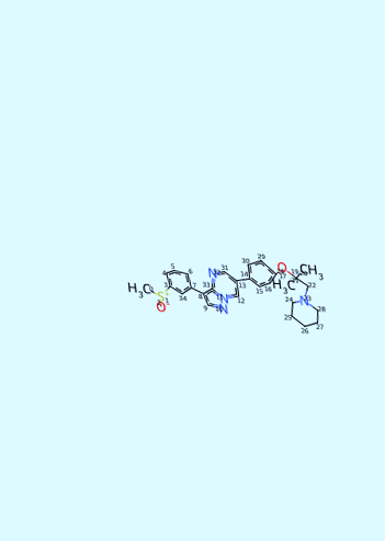 C[S+]([O-])c1cccc(-c2cnn3cc(-c4ccc(OC(C)(C)CN5CCCCC5)cc4)cnc23)c1